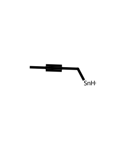 CC#C[CH2][SnH]